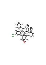 CCCc1c(CCC)c(-c2ccccc2)c(-c2ccc(Br)cc2)c(-c2ccc(Cl)cc2)c1-c1ccccc1